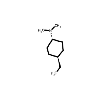 CC[C@H]1CC[C@H](N(C)C)CC1